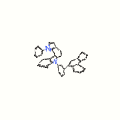 c1ccc(-n2ccc3ccc4c(c5ccccc5n4-c4cccc(-c5cc6ccccc6c6ccccc56)c4)c32)cc1